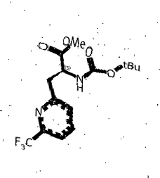 COC(=O)[C@H](Cc1cccc(C(F)(F)F)n1)NC(=O)OC(C)(C)C